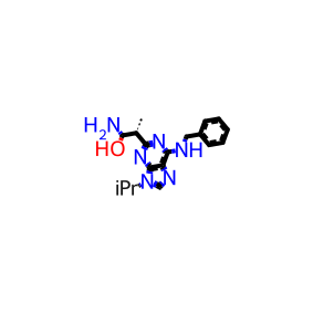 CC(C)n1cnc2c(NCc3ccccc3)nc([C@@H](C)C(N)O)nc21